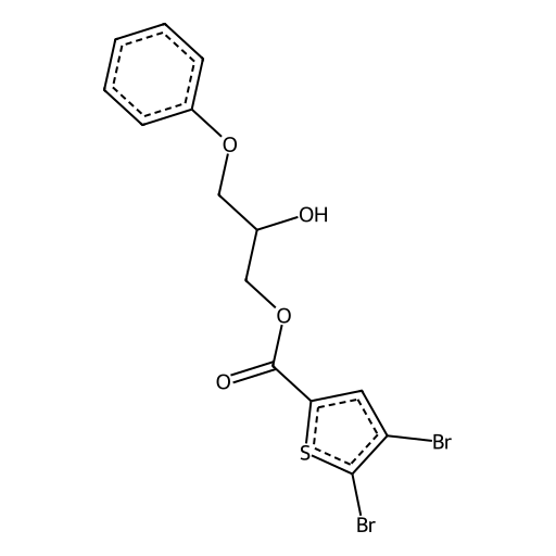 O=C(OCC(O)COc1ccccc1)c1cc(Br)c(Br)s1